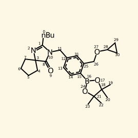 CCCCC1=NC2(CCCC2)C(=O)N1Cc1ccc(B2OC(C)(C)C(C)(C)O2)c(COC2CC2)c1